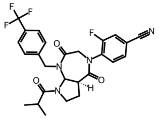 CC(C)C(=O)N1CC[C@@H]2C(=O)N(c3ccc(C#N)cc3F)CC(=O)N(Cc3ccc(C(F)(F)F)cc3)C21